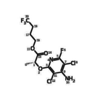 C[C@@H](Oc1nc(F)c(Cl)c(N)c1Cl)C(=O)OCCCC(F)(F)F